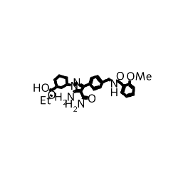 CCOC(O)C1CCCC(n2nc(-c3ccc(CNC(=O)c4ccccc4OC)cc3)c(C(N)=O)c2N)C1